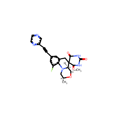 C[C@@H]1CN2c3c(F)cc(C#Cc4cnccn4)cc3CC3(C(=O)NC(=O)NC3=O)[C@H]2[C@H](C)O1